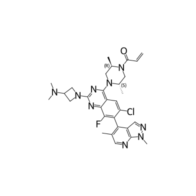 C=CC(=O)N1C[C@H](C)N(c2nc(N3CC(N(C)C)C3)nc3c(F)c(-c4c(C)cnc5c4cnn5C)c(Cl)cc23)C[C@H]1C